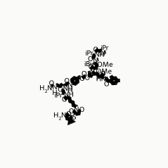 CC[C@H](C)[C@@H]([C@@H](CC(=O)N1C[C@@H](OC(=O)OCc2ccc(NC(=O)[C@H](CCCNC(N)=O)NC(=O)[C@@H](NC(=O)CCCCCN3C(=O)CC(SCC4(CC(N)=O)CC4)C3=O)C(C)C)cc2)C[C@H]1[C@H](OC)[C@@H](C)C(=O)NCC(=O)c1ccc(C)cc1C)OC)N(C)C(=O)[C@@H](NC(=O)[C@H](C(C)C)N(C)C)C(C)C